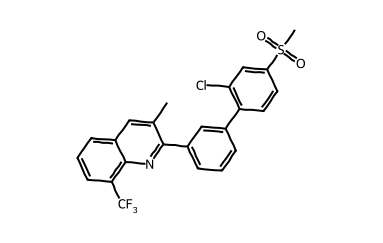 Cc1cc2cccc(C(F)(F)F)c2nc1-c1cccc(-c2ccc(S(C)(=O)=O)cc2Cl)c1